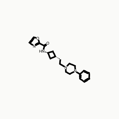 O=C(N[C@H]1C[C@@H](CCN2CCN(c3ccccc3)CC2)C1)c1ncco1